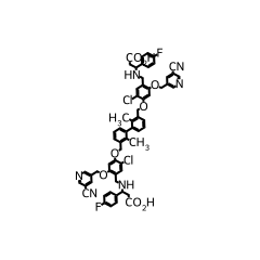 Cc1c(COc2cc(OCc3cncc(C#N)c3)c(CNC(CC(=O)O)c3ccc(F)cc3)cc2Cl)cccc1-c1cccc(COc2cc(OCc3cncc(C#N)c3)c(CNC(CC(=O)O)c3ccc(F)cc3)cc2Cl)c1C